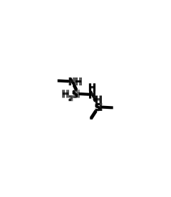 CN[SiH2]N[SiH](C)C